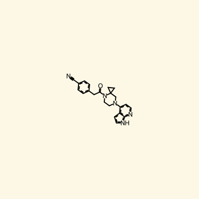 N#Cc1ccc(CC(=O)N2CCN(c3ccnc4[nH]ccc34)CC23CC3)cc1